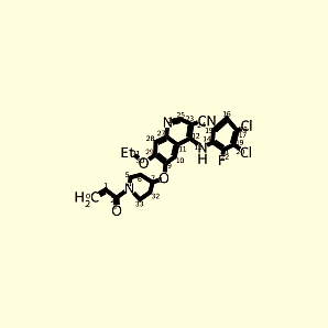 C=CC(=O)N1CCC(Oc2cc3c(Nc4ccc(Cl)c(Cl)c4F)c(C#N)cnc3cc2OCC)CC1